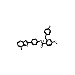 COc1ccc(C(=O)Nc2ccc(-c3cn4cccc(C)c4n3)cc2)c(Cc2ccc(Cl)cc2)c1